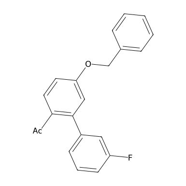 CC(=O)c1ccc(OCc2ccccc2)cc1-c1cccc(F)c1